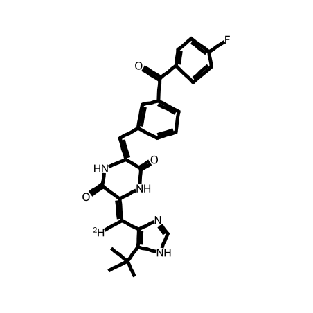 [2H]C(c1nc[nH]c1C(C)(C)C)=c1[nH]c(=O)c(=Cc2cccc(C(=O)c3ccc(F)cc3)c2)[nH]c1=O